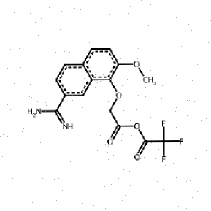 COc1ccc2ccc(C(=N)N)cc2c1OCC(=O)OC(=O)C(F)(F)F